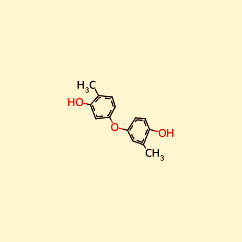 Cc1cc(Oc2ccc(C)c(O)c2)ccc1O